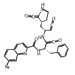 O=C=C[C@H](C[C@@H]1CCNC1=C=O)NC(=C=O)[C@H](Cc1ccccc1)NC(=O)c1ccc2ccc(Br)cc2n1